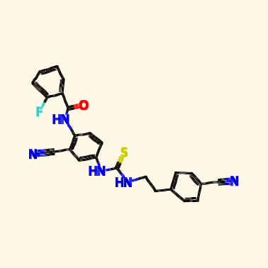 N#Cc1ccc(CCNC(=S)Nc2ccc(NC(=O)c3ccccc3F)c(C#N)c2)cc1